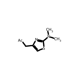 CC(=O)Cc1csc(N(C)C)n1